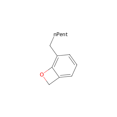 CCCCCCc1cccc2c1OC2